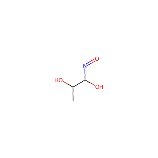 CC(O)C(O)N=O